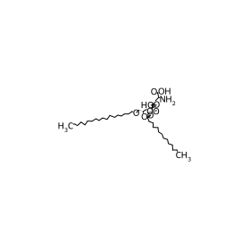 CCCCCCCCCCCCCCCCCCOC[C@H](COP(=O)(O)OC[C@H](N)C(=O)O)OC(=O)CCCCCCCCCCCCC